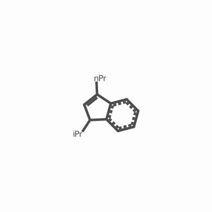 CCCC1=CC(C(C)C)c2ccccc21